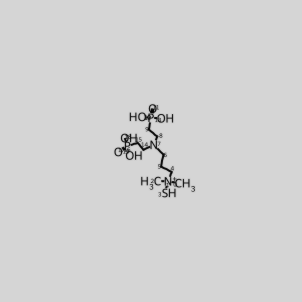 C[N+](C)(S)CCCN(CCP(=O)(O)O)CCP(=O)(O)O